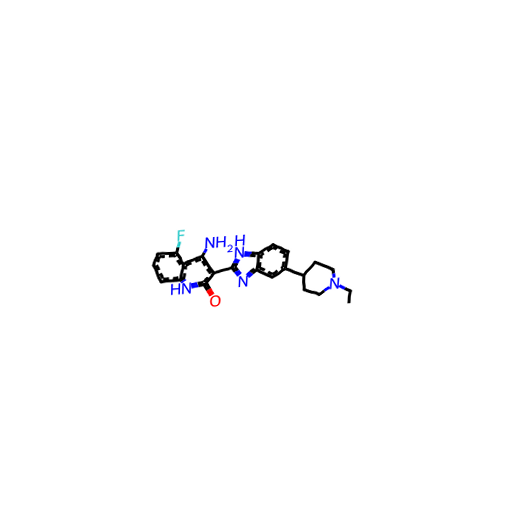 CCN1CCC(c2ccc3[nH]c(-c4c(N)c5c(F)cccc5[nH]c4=O)nc3c2)CC1